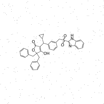 O=C1OC(Cc2ccccc2)(Cc2ccccc2)C(O)=C1C(c1cccc(CS(=O)(=O)c2nc3ccccc3[nH]2)c1)C1CC1